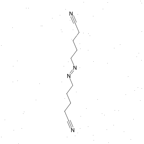 N#CCCCCN=NCCCCC#N